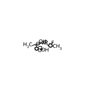 CCC[C@@H](OC[C@H](O)CN1CCC[C@H]1Cc1ccc(C)c(F)c1)c1ccccc1CCC(=O)O